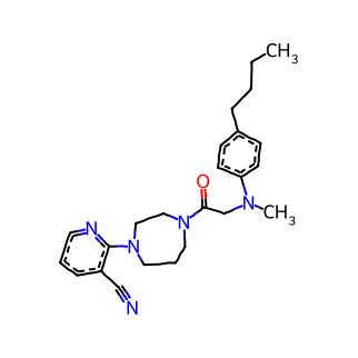 CCCCc1ccc(N(C)CC(=O)N2CCCN(c3ncccc3C#N)CC2)cc1